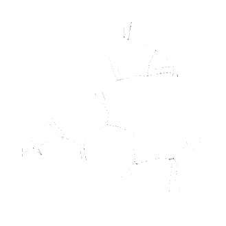 C1=CC2=NC2N1.C=C(C)C(=O)OC(C)NC(N)=O